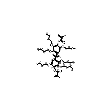 C=C(C)C(=O)Oc1c(OCCCC)cc(C(C)(C)c2cc(OCCCC)c(OC(=O)C(=C)C)c(OCCCC)c2OCCCC)c(OCCCC)c1OCCCC